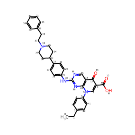 CCc1ccc(-n2cc(C(=O)O)c(=O)c3cnc(Nc4ccc(C5CCN(CCc6ccccc6)CC5)cc4)nc32)cc1